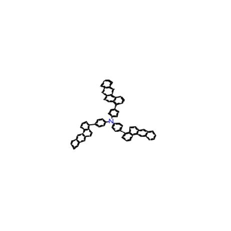 c1ccc2cc3c(ccc4c(-c5ccc(N(c6ccc(-c7cccc8c7ccc7cc9ccccc9cc78)cc6)c6ccc(-c7cccc8c7ccc7cc9ccccc9cc78)cc6)cc5)cccc43)cc2c1